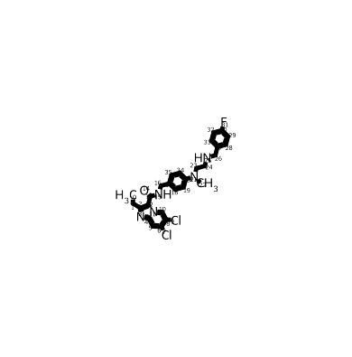 CCc1nc2cc(Cl)c(Cl)cn2c1C(=O)NCc1ccc(N(C)CCNCc2ccc(F)cc2)cc1